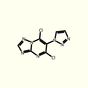 Clc1nc2ncnn2c(Cl)c1-n1ccnn1